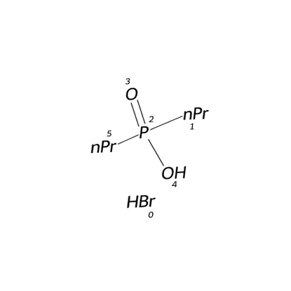 Br.CCCP(=O)(O)CCC